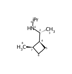 CC(C)N[C@H](C)[C@H]1CC[C@H]1C